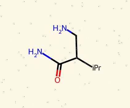 CC(C)C(CN)C(N)=O